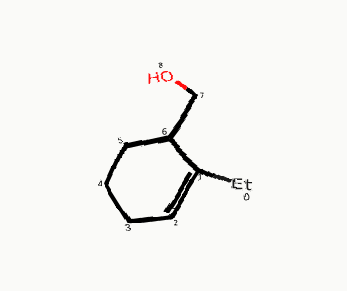 CCC1=CCCCC1CO